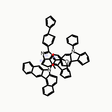 CC1C/C=C(c2ccc3oc4ccccc4c3c2-n2c3cc4ccccc4cc3c3c4ccccc4ccc32)/N=C(c2ccc(-c3ccccc3)cc2)\N=C/1c1ccc2c3ccccc3n(-c3ccccc3)c2c1